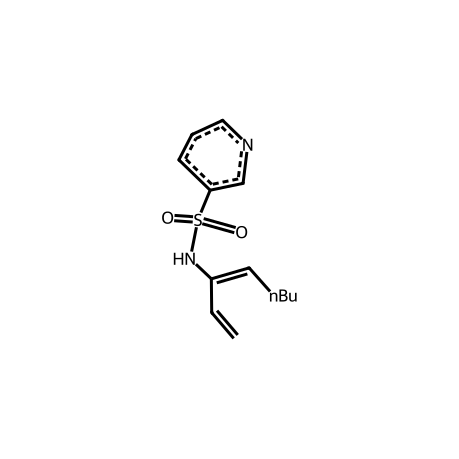 C=CC(=CCCCC)NS(=O)(=O)c1cccnc1